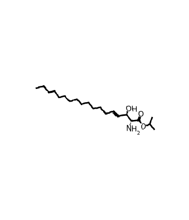 CCCCCCCCCCCCCC=C[C@@H](O)[C@@H](N)C(=O)OC(C)C